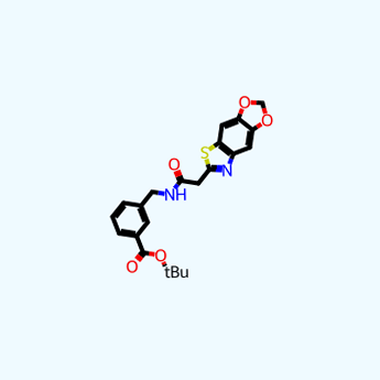 CC(C)(C)OC(=O)c1cccc(CNC(=O)Cc2nc3cc4c(cc3s2)OCO4)c1